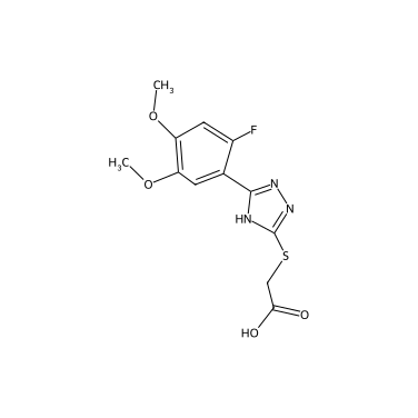 COc1cc(F)c(-c2nnc(SCC(=O)O)[nH]2)cc1OC